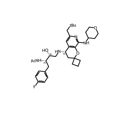 CC(=O)N[C@@H](Cc1ccc(F)cc1)[C@H](O)CN[C@H]1CC2(CCC2)Oc2c1cc(CC(C)(C)C)nc2NC1CCOCC1